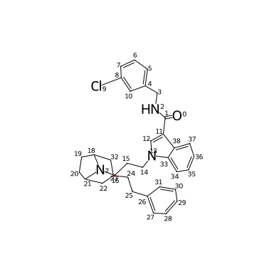 O=C(NCc1cccc(Cl)c1)c1cn(CCCN2C3CCC2CC(CCc2ccccc2)C3)c2ccccc12